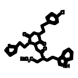 CCOC(=O)CN(CCc1c[nH]c2ccccc12)C(=O)CC1C(=O)N(CCc2ccc(Cl)cc2)CC(=O)N1CCc1cccs1